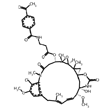 COc1cc2cc(c1Cl)N(C)C(=O)C[C@H](OC(=O)CCNC(=O)c1ccc(C(C)=O)cc1)[C@]1(C)O[C@H]1C1(C)C[C@]13C[C@@](O)(NC(=O)O3)[C@H](OC)/C=C/C=C(\C)C2